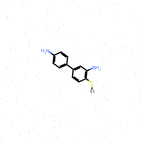 CCSc1ccc(-c2ccc(N)cc2)cc1N